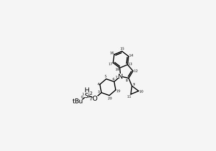 CC(C)(C)[SiH2]OC1CCC(n2c(C3CC3)cc3ccccc32)CC1